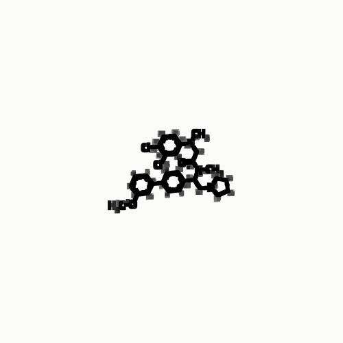 COc1cccc(-c2ccc(C(CN3CCCC3)N(C)C(=O)CN(C)c3ccc(Cl)c(Cl)c3)cc2)c1